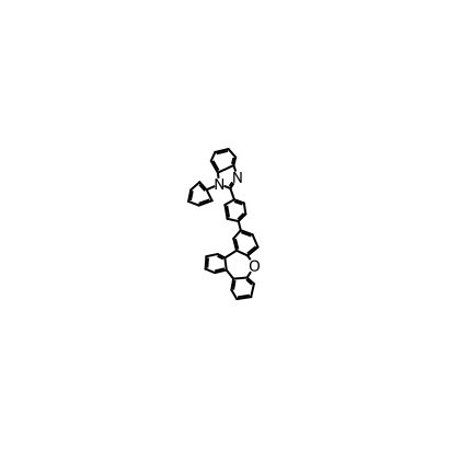 c1ccc(-n2c(-c3ccc(-c4ccc5c(c4)-c4ccccc4-c4ccccc4O5)cc3)nc3ccccc32)cc1